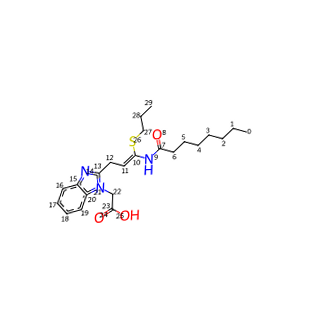 CCCCCCCC(=O)NC(=CCc1nc2ccccc2n1CC(=O)O)SCCC